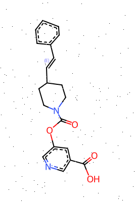 O=C(O)c1cncc(OC(=O)N2CCC(/C=C/c3ccccc3)CC2)c1